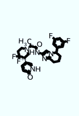 C[C@@H](C(=O)Nc1cn2c(n1)CCCC2c1cc(F)cc(F)c1)N1CCC(F)(F)[C@@H](c2ccc(=O)[nH]c2)C1